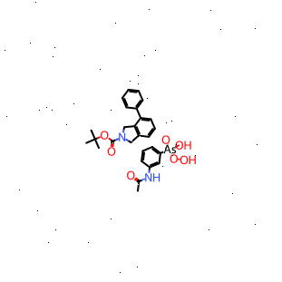 CC(=O)Nc1cccc([As](=O)(O)OO)c1.CC(C)(C)OC(=O)N1Cc2cccc(-c3ccccc3)c2C1